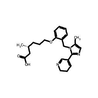 Cc1cnc(C2=CCCN=C2)n1Cc1ccccc1OCCC[C@@H](C)CC(=O)O